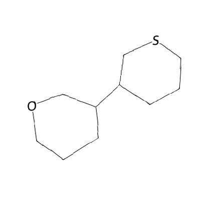 C1COCC(C2CCCSC2)C1